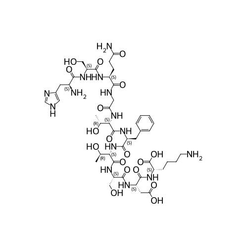 C[C@@H](O)[C@H](NC(=O)CNC(=O)[C@H](CCC(N)=O)NC(=O)[C@H](CO)NC(=O)[C@@H](N)Cc1c[nH]cn1)C(=O)N[C@@H](Cc1ccccc1)C(=O)N[C@H](C(=O)N[C@@H](CO)C(=O)N[C@@H](CC(=O)O)C(=O)N[C@@H](CCCCN)C(=O)O)[C@@H](C)O